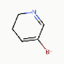 BrC1=CCCN=C1